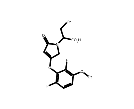 CCOc1ccc(F)c(OC2=CC(=O)N(C(CC(C)C)C(=O)O)C2)c1F